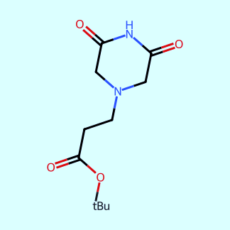 CC(C)(C)OC(=O)CCN1CC(=O)NC(=O)C1